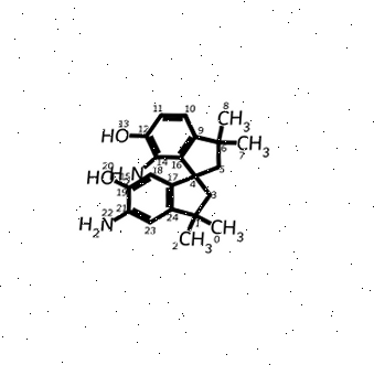 CC1(C)CC2(CC(C)(C)c3ccc(O)c(N)c32)c2cc(O)c(N)cc21